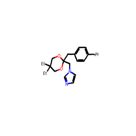 CCC1(CC)COC(Cc2ccc(C(C)C)cc2)(Cn2ccnc2)OC1